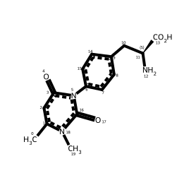 Cc1cc(=O)n(-c2ccc(C[C@H](N)C(=O)O)cc2)c(=O)n1C